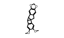 COc1cc2c(cc1OC)C13Cc4cc5c(cc4C1C23)OCO5